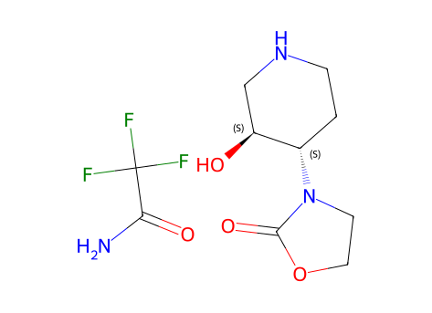 NC(=O)C(F)(F)F.O=C1OCCN1[C@H]1CCNC[C@@H]1O